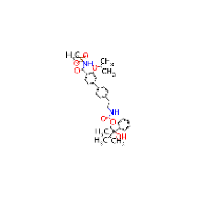 CC(C)Oc1cc(-c2ccc(CCNC(=O)OC[C@](O)(c3ccccc3)C(C)(C)C)cc2)ccc1C(=O)NS(C)(=O)=O